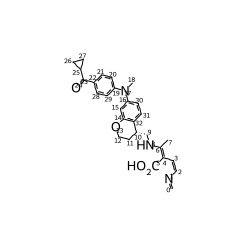 C=N/C=C\C(C(=O)O)=C(/C)NC[C@@H]1CCOc2cc(N(C)c3ccc(C(=O)C4CC4)cc3)ccc21